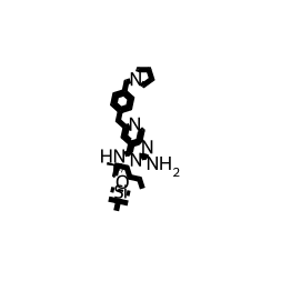 CCCC[C@](C)(CO[Si](C)(C)C(C)(C)C)Nc1nc(N)nc2cnc(Cc3ccc(CN4CCCC4)cc3)cc12